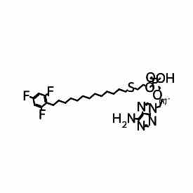 C[C@H](Cn1cnc2c(N)ncnc21)OCP(=O)(O)OCCSCCCCCCCCCCCCCc1c(F)cc(F)cc1F